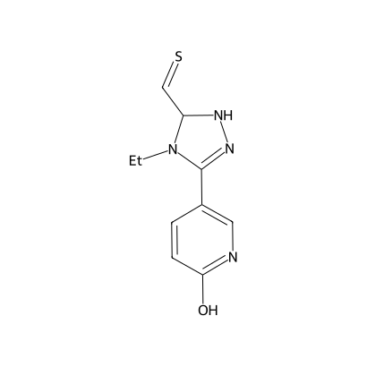 CCN1C(c2ccc(O)nc2)=NNC1C=S